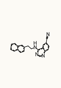 N#Cc1ccc2ncnc(NCCc3ccc4ccccc4c3)c2c1